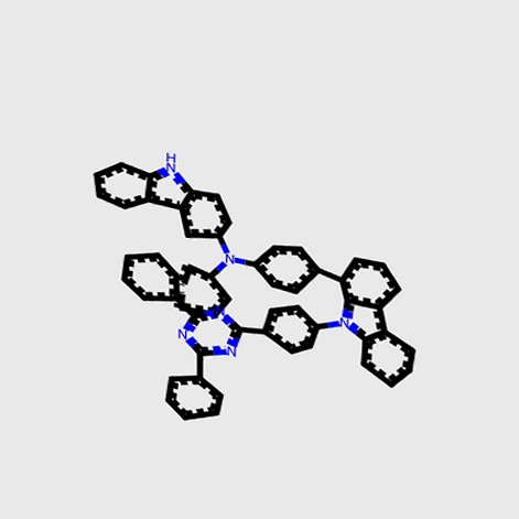 c1ccc(-c2nc(-c3ccccc3)nc(-c3ccc(-n4c5ccccc5c5cccc(-c6ccc(N(c7ccccc7)c7ccc8[nH]c9ccccc9c8c7)cc6)c54)cc3)n2)cc1